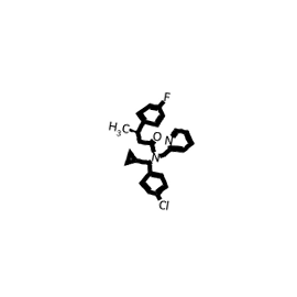 C[C@H](CC(=O)N(Cc1ccccn1)C(c1ccc(Cl)cc1)C1CC1)c1ccc(F)cc1